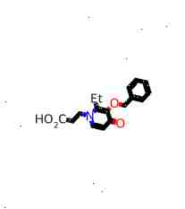 CCc1c(OCc2ccccc2)c(=O)ccn1CCC(=O)O